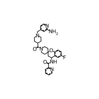 Nc1cc(CN2CCC(C(=O)N3CCC4(CC3)CC(NC(=O)c3ccccn3)c3cc(F)ccc3O4)CC2)ccn1